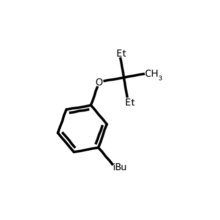 CCC(C)c1cccc(OC(C)(CC)CC)c1